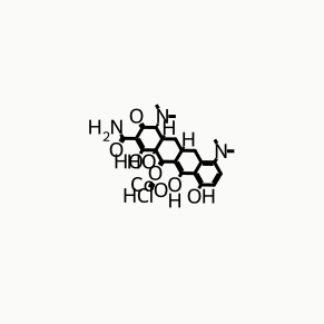 CN(C)c1ccc(O)c2c1C[C@H]1C[C@H]3[C@H](N(C)C)C(=O)C(C(N)=O)=C(O)[C@@]3(O)C(=O)C1=C2O.Cl.[O]=[Co]